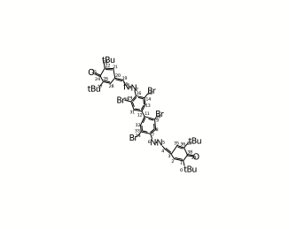 CC(C)(C)C1=CC(=C/N=N/c2cc(Br)c(-c3cc(Br)c(/N=N/C=C4C=C(C(C)(C)C)C(=O)C(C(C)(C)C)=C4)c(Br)c3)cc2Br)C=C(C(C)(C)C)C1=O